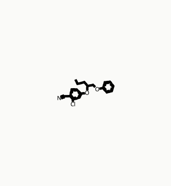 CCCC(COc1ccccc1)Oc1ccc(C#N)c(Cl)c1